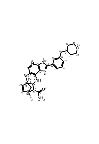 NC(=O)[C@@H]1[C@H](Nc2c(Br)cnc3[nH]c(-c4cccc(CN5CCOCC5)c4)nc23)[C@H]2C=C[C@@H]1C2